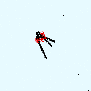 CCCCCCCCCCCCCCCCOc1ccc(-c2ccccc2C2C[C@H](C(=O)O)C(CCCCCCCCCC)(CCCCCCCCCC)OC2=O)cc1